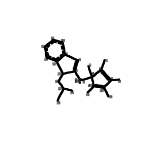 CC1=C(C)[C](C)([Hf][C]2=Cc3ccccc3C2CC(C)C)C(C)=C1C